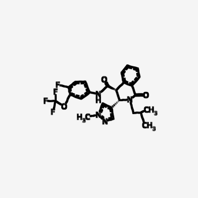 CC(C)CN1C(=O)c2ccccc2[C@H](C(=O)Nc2ccc(F)c(OC(F)(F)F)c2)[C@H]1c1cnn(C)c1